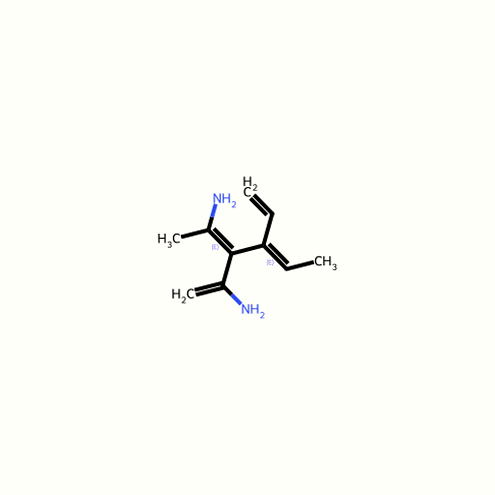 C=CC(=C\C)/C(C(=C)N)=C(/C)N